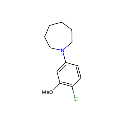 COc1cc(N2CCCCCC2)ccc1Cl